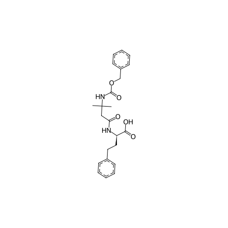 CC(C)(CC(=O)N[C@H](CCc1ccccc1)C(=O)O)NC(=O)OCc1ccccc1